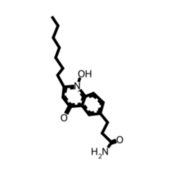 CCCCCCCc1cc(=O)c2cc(CCC(N)=O)ccc2n1O